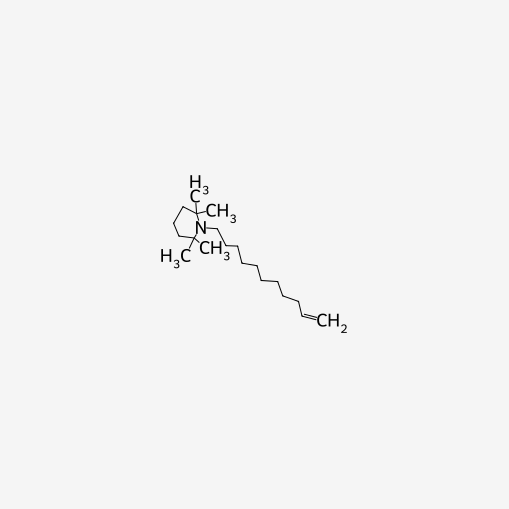 C=CCCCCCCCCCN1C(C)(C)CCCC1(C)C